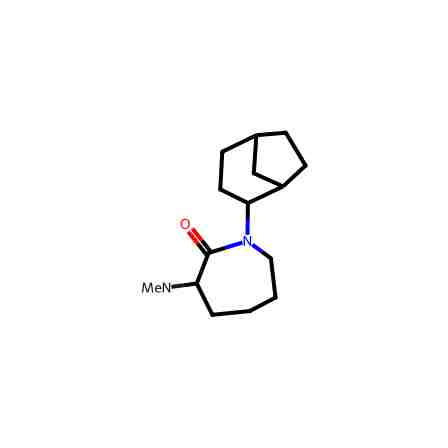 CNC1CCCCN(C2CCC3CCC2C3)C1=O